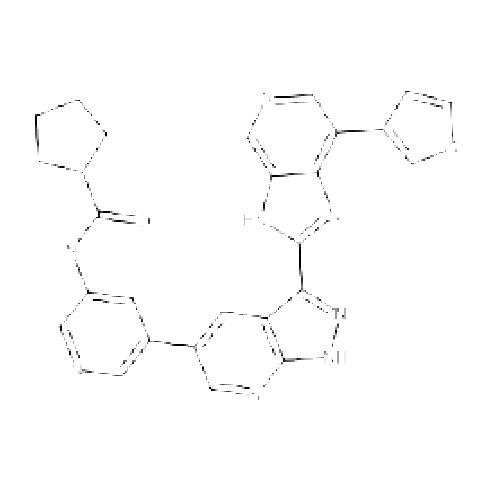 O=C(Nc1cncc(-c2cnc3[nH]nc(-c4nc5c(-c6ccsc6)cncc5[nH]4)c3c2)c1)C1CCCC1